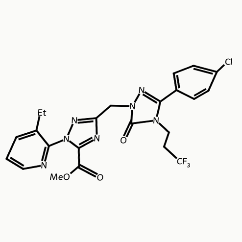 CCc1cccnc1-n1nc(Cn2nc(-c3ccc(Cl)cc3)n(CCC(F)(F)F)c2=O)nc1C(=O)OC